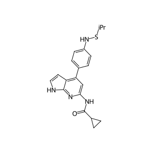 CC(C)SNc1ccc(-c2cc(NC(=O)C3CC3)nc3[nH]ccc23)cc1